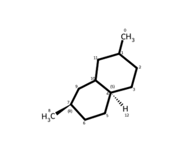 CC1CC[C@H]2CC[C@@H](C)CC2C1